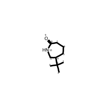 CC(C)(C)C1CCCC(=O)NC1